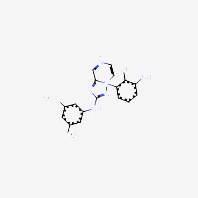 COc1cc(NC2=N[N+]3(c4cccc(N)c4C)C=CN=CC3=N2)cc(OC)c1